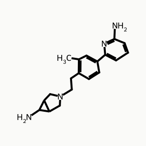 Cc1cc(-c2cccc(N)n2)ccc1CCN1CC2C(N)C2C1